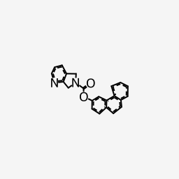 O=C(Oc1ccc2ccc3ccccc3c2c1)N1Cc2cccnc2C1